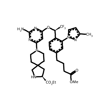 CCOC(=O)[C@@H]1CC2(CCN(c3cc(O[C@H](c4ccc(CCCC(=O)OC)cc4-n4ccc(C)n4)C(F)(F)F)nc(N)n3)CC2)CN1